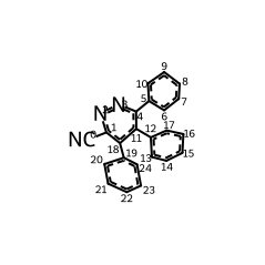 N#Cc1nnc(-c2ccccc2)c(-c2ccccc2)c1-c1ccccc1